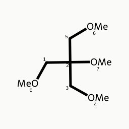 COCC(COC)(COC)OC